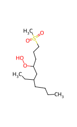 CCCCC(CC)CC(CCCS(C)(=O)=O)OO